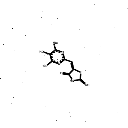 CC(C)(C)c1nc(C=C2SC(=N)NC2=O)nc(C(C)(C)C)c1O